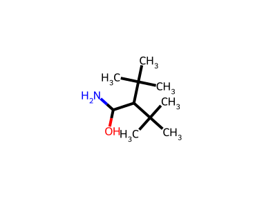 CC(C)(C)C(C(N)O)C(C)(C)C